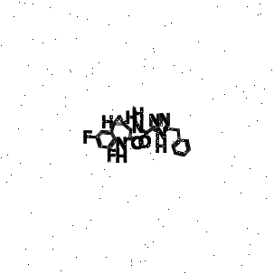 O=C(N[C@@H]1C(=O)Nc2c(F)cc(F)cc2[C@@H]2C[C@H]12)c1nnc(Cc2ccccc2)[nH]1